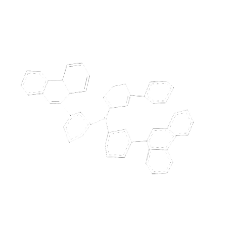 C1=CC2C(c3cccc(N(C4=CCCC(c5ccccc5)=C4)c4cccc(-c5cc6ccccc6c6ccccc56)c4)c3)=Cc3ccccc3C2C=C1